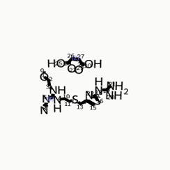 COCCN/C(=N/C#N)NCCSCc1csc(NC(=N)N)n1.O=C(O)/C=C\C(=O)O